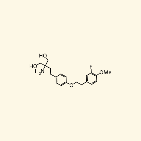 COc1ccc(CCOc2ccc(CCC(N)(CO)CO)cc2)cc1F